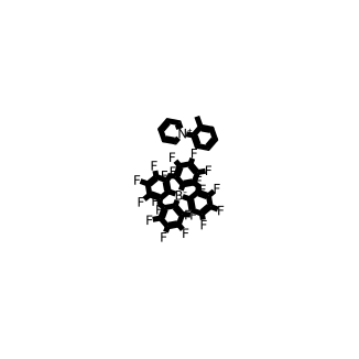 Cc1ccccc1-[n+]1ccccc1.Fc1c(F)c(F)c([B-](c2c(F)c(F)c(F)c(F)c2F)(c2c(F)c(F)c(F)c(F)c2F)c2c(F)c(F)c(F)c(F)c2F)c(F)c1F